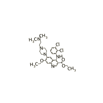 CCOC(=O)c1cnc2cc(OCC)c(N3CCN(CCN(C)C)CC3)cc2c1Nc1cccc(Cl)c1Cl